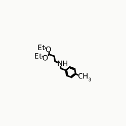 CCOC(CCNCc1ccc(C)cc1)OCC